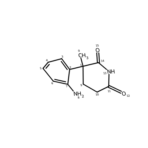 CC1(c2ccccc2N)CCC(=O)NC1=O